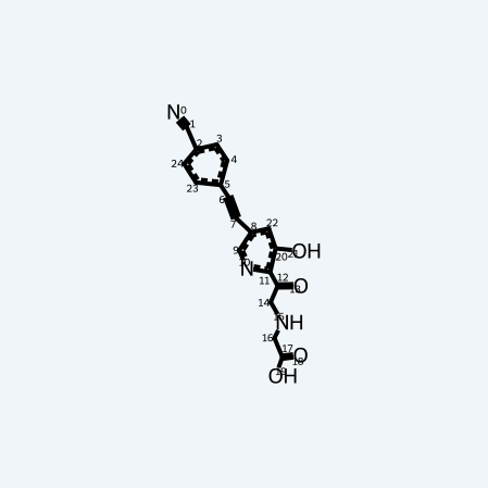 N#Cc1ccc(C#Cc2cnc(C(=O)CNCC(=O)O)c(O)c2)cc1